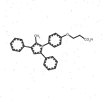 Cc1c(-c2ccccc2)cc(-c2ccccc2)n1-c1ccc(OCCC(=O)O)cc1